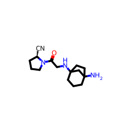 N#C[C@@H]1CCCN1C(=O)CNC12CCCC(N)(CC1)C2